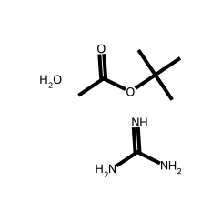 CC(=O)OC(C)(C)C.N=C(N)N.O